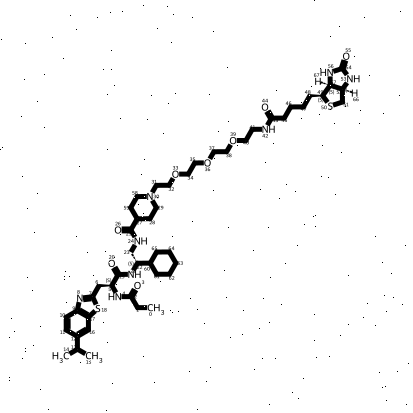 CCC(=O)N[C@@H](Cc1nc2ccc(C(C)C)cc2s1)C(=O)N[C@H](CNC(=O)C1CCN(CCOCCOCCOCCNC(=O)CCCC[C@@H]2SC[C@@H]3NC(=O)N[C@@H]32)CC1)C1CCCCC1